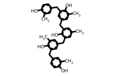 Cc1cc(Cc2cc(C)c(O)c(Cc3ccc(O)c(C)c3)c2)c(O)c(Cc2cc(C)c(O)c(Cc3ccc(O)c(C)c3)c2)c1